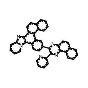 c1ccc(-c2nc3c(ccc4ccccc43)nc2-c2ccc3c(c2)c2c4ccccc4ccc2c2nc4ccccn4c32)nc1